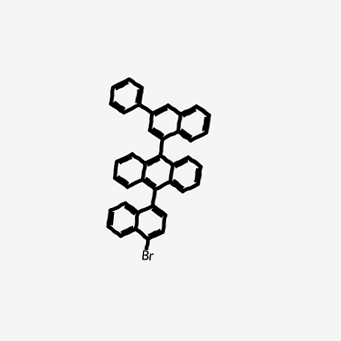 Brc1ccc(-c2c3ccccc3c(-c3cc(-c4ccccc4)cc4ccccc34)c3ccccc23)c2ccccc12